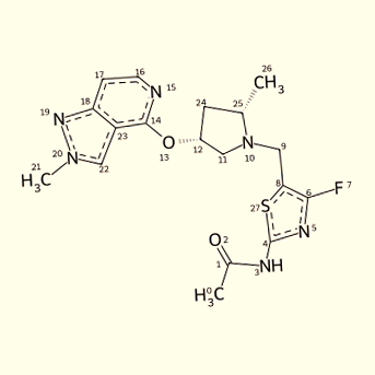 CC(=O)Nc1nc(F)c(CN2C[C@H](Oc3nccc4nn(C)cc34)C[C@@H]2C)s1